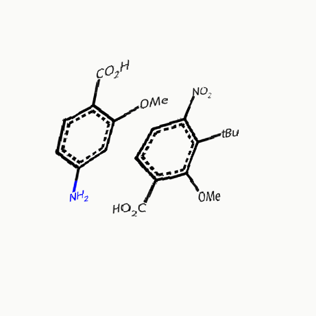 COc1c(C(=O)O)ccc([N+](=O)[O-])c1C(C)(C)C.COc1cc(N)ccc1C(=O)O